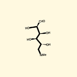 CNC[C@@H](O)[C@@H](O)[C@H](O)[C@@H](O)C=O